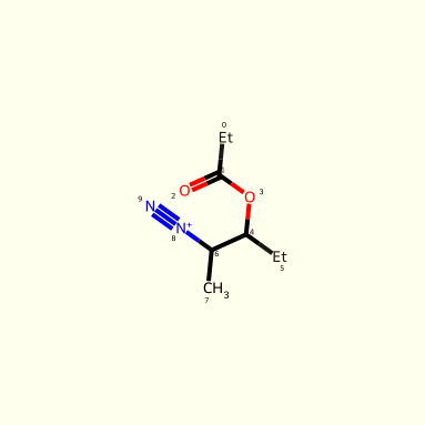 CCC(=O)OC(CC)C(C)[N+]#N